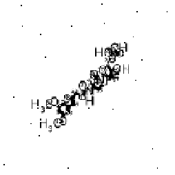 COc1cc(OC)c2sc(COC(=O)Nc3ccn([C@@H]4O[C@H](COP(=O)(O)O)[C@@H](O)C4(F)F)c(=O)n3)cc2c1